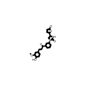 COc1cc(C=CC(=O)c2cccc(-n3cc(-c4ccc(Cl)s4)[nH]c3=O)c2)ccc1O